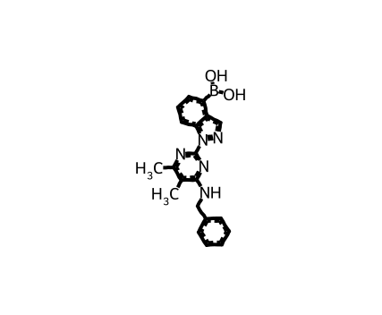 Cc1nc(-n2ncc3c(B(O)O)cccc32)nc(NCc2ccccc2)c1C